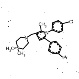 Cc1c(CN2CCS(C)(C)CC2)cc(-c2ccc(C(C)C)cc2)n1-c1ccc(Cl)cc1